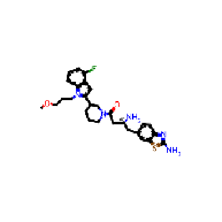 COCCCn1c(C2CCCN(C(=O)C[C@H](N)Cc3ccc4nc(N)sc4c3)C2)cc2c(F)cccc21